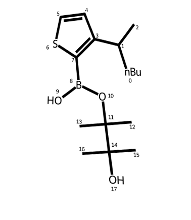 CCCCC(C)c1ccsc1B(O)OC(C)(C)C(C)(C)O